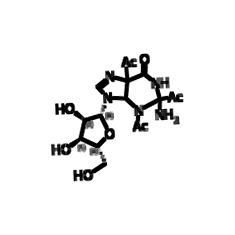 CC(=O)N1C2N([C@@H]3O[C@H](CO)[C@@H](O)[C@H]3O)C=NC2(C(C)=O)C(=O)NC1(N)C(C)=O